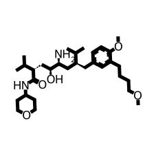 COCCCCc1cc(C[C@@H](C[C@H](N)[C@@H](O)C[C@H](C(=O)NC2CCOCC2)C(C)C)C(C)C)ccc1OC